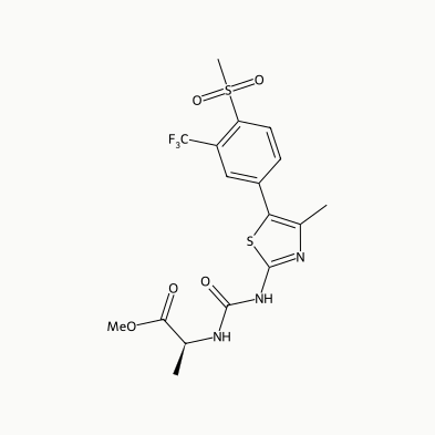 COC(=O)[C@H](C)NC(=O)Nc1nc(C)c(-c2ccc(S(C)(=O)=O)c(C(F)(F)F)c2)s1